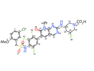 COc1ccc(Cl)cc1CS(=O)(=O)Nc1c(F)cc(-c2cc3cnc(N[C@H]4C[C@H](F)CN(C(=O)O)C4)nc3n(C(C)C)c2=O)c(F)c1F